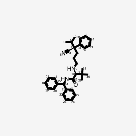 CC(C)[C@@](C#N)(CCCN[C@H](C(=O)NC(c1ccccc1)c1ccccc1)C(C)(C)C)c1ccccc1